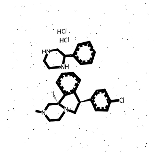 CN1CCN2C[C@H](c3ccc(Cl)cc3)c3ccccc3[C@@H]2C1.Cl.Cl.c1ccc(C2CNCCN2)cc1